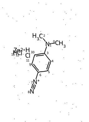 CN(C)c1ccc([N+]#N)cc1.Cl.Cl.[Zn+2]